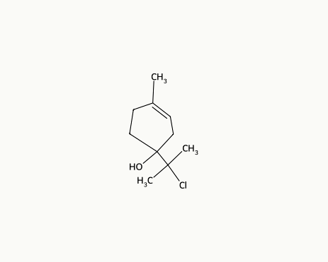 CC1=CCC(O)(C(C)(C)Cl)CC1